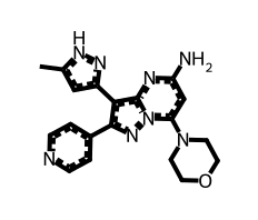 Cc1cc(-c2c(-c3ccncc3)nn3c(N4CCOCC4)cc(N)nc23)n[nH]1